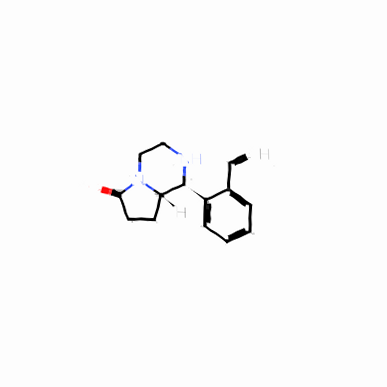 C=Cc1ccccc1[C@@H]1NCCN2C(=O)CC[C@@H]12